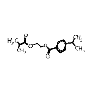 CC(C)C(=O)OCCOC(=O)c1ccc(C(C)C)cc1